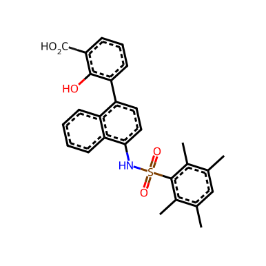 Cc1cc(C)c(C)c(S(=O)(=O)Nc2ccc(-c3cccc(C(=O)O)c3O)c3ccccc23)c1C